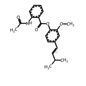 COc1cc(/C=C/C(C)C)ccc1OC(=O)c1ccccc1NC(C)=O